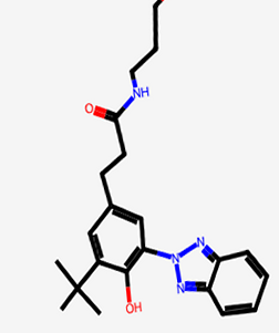 CC(C)(C)c1cc(CCC(=O)NCCCO)cc(-n2nc3ccccc3n2)c1O